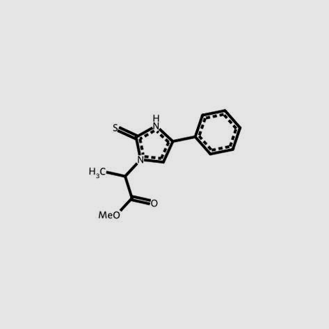 COC(=O)C(C)n1cc(-c2ccccc2)[nH]c1=S